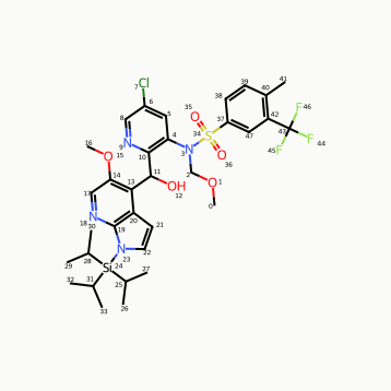 COCN(c1cc(Cl)cnc1C(O)c1c(OC)cnc2c1ccn2[Si](C(C)C)(C(C)C)C(C)C)S(=O)(=O)c1ccc(C)c(C(F)(F)F)c1